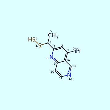 CC(C)c1cc(C(C)SS)nc2ccncc12